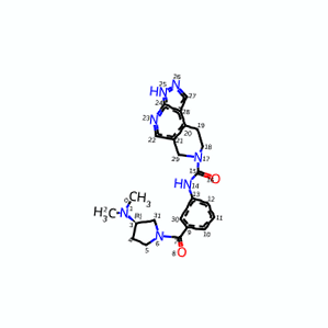 CN(C)[C@@H]1CCN(C(=O)c2cccc(NC(=O)N3CCc4c(cnc5[nH]ncc45)C3)c2)C1